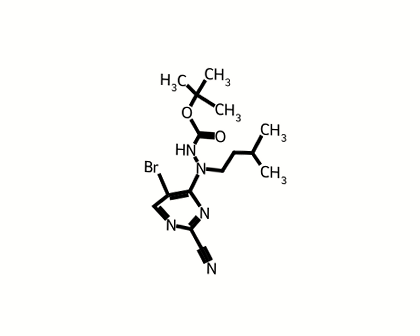 CC(C)CCN(NC(=O)OC(C)(C)C)c1nc(C#N)ncc1Br